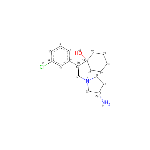 N[C@H]1CCN(C[C@@H](c2cccc(Cl)c2)C2(O)CCCCC2)C1